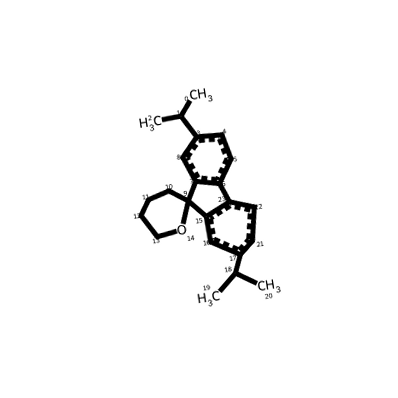 CC(C)c1ccc2c(c1)C1(CCCCO1)c1cc(C(C)C)ccc1-2